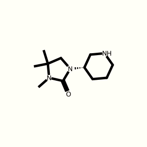 CN1C(=O)N([C@H]2CCCNC2)CC1(C)C